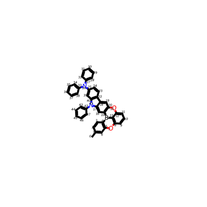 Cc1ccc2c(c1)Oc1cccc3c1B2c1cc2c(cc1O3)c1ccc(N(c3ccccc3)c3ccccc3)cc1n2-c1ccccc1